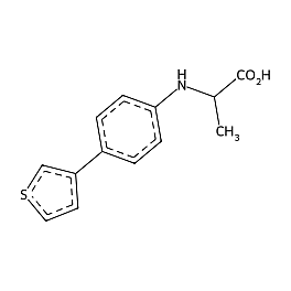 CC(Nc1ccc(-c2ccsc2)cc1)C(=O)O